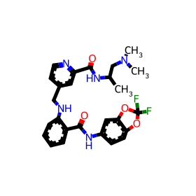 CC(CN(C)C)NC(=O)c1cc(CNc2ccccc2C(=O)Nc2ccc3c(c2)OC(F)(F)O3)ccn1